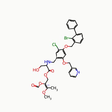 CO/C(C)=C(/COC(=O)C(CO)NCc1cc(Cl)c(OCc2cccc(-c3ccccc3)c2Br)cc1OCc1cccnc1)OC=O